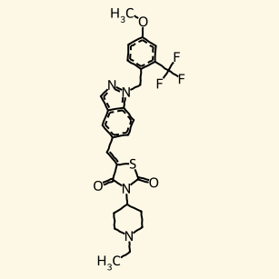 CCN1CCC(N2C(=O)S/C(=C\c3ccc4c(cnn4Cc4ccc(OC)cc4C(F)(F)F)c3)C2=O)CC1